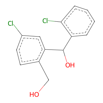 OCc1ccc(Cl)cc1C(O)c1ccccc1Cl